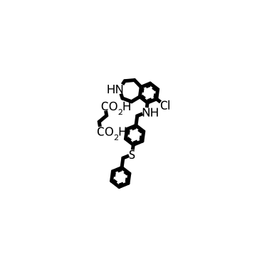 Clc1ccc2c(c1NCc1ccc(SCc3ccccc3)cc1)CCNCC2.O=C(O)CCC(=O)O